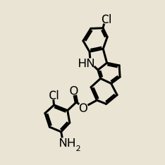 Nc1ccc(Cl)c(C(=O)Oc2ccc3ccc4c5cc(Cl)ccc5[nH]c4c3c2)c1